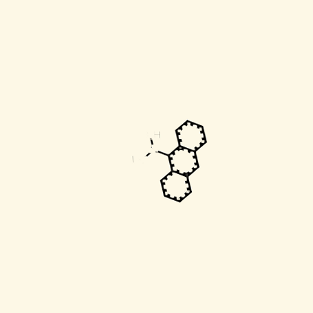 CN(C)c1c2ccccc2cc2ccccc12